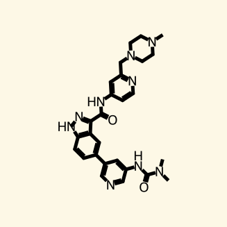 CN1CCN(Cc2cc(NC(=O)c3n[nH]c4ccc(-c5cncc(NC(=O)N(C)C)c5)cc34)ccn2)CC1